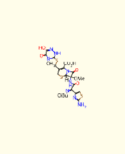 COC1(NC(=O)C(=NOCC(C)C)c2csc(N)n2)C(=O)N2C(C(=O)O)=C(CSC3NN=C(O)C(=O)N3C)CS[C@H]21